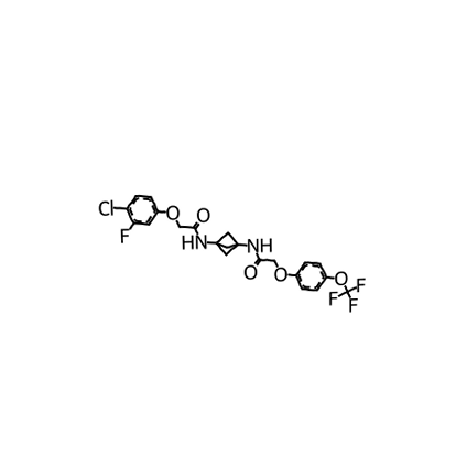 O=C(COc1ccc(OC(F)(F)F)cc1)NC12CC(NC(=O)COc3ccc(Cl)c(F)c3)(C1)C2